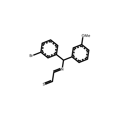 COc1cccc(C(N=CC=S)c2cccc(Br)c2)c1